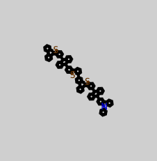 c1ccc(-n2c3ccccc3c3cc(-c4c5ccccc5c(-c5ccc6sc7c8cc(-c9cccc%10c9sc9ccc(-c%11c%12ccccc%12c(-c%12ccc%13sc%14c%15ccccc%15c%15ccccc%15c%14c%13c%12)c%12ccccc%11%12)cc9%10)ccc8c8ccccc8c7c6c5)c5ccccc45)ccc32)cc1